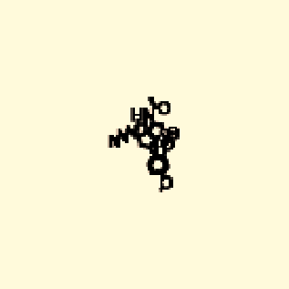 COc1ccc([C@H]2C[C@@H](N=[N+]=[N-])[C@H]3[C@@H]2S(=O)(=O)C[C@@H]3NC(C)=O)cc1